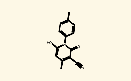 Cc1ccc(-n2c(O)cc(C)c(C#N)c2=O)cc1